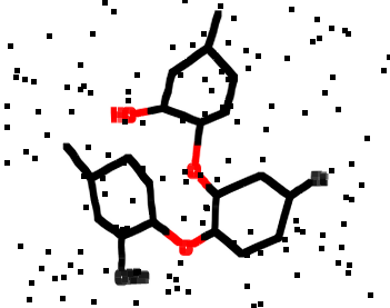 CCC1CCC(OC2CCC(C)CC2OC)C(OC2CCC(C)CC2O)C1